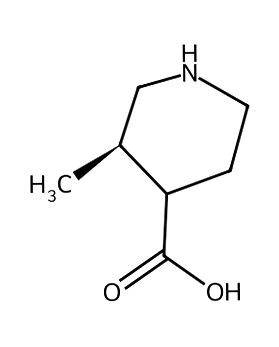 C[C@H]1CNCCC1C(=O)O